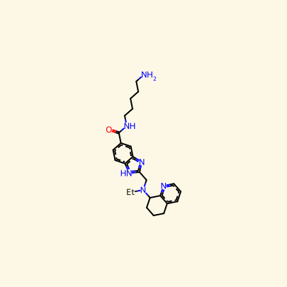 CCN(Cc1nc2cc(C(=O)NCCCCCN)ccc2[nH]1)C1CCCc2cccnc21